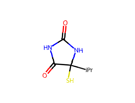 CC(C)C1(S)NC(=O)NC1=O